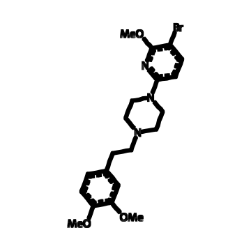 COc1ccc(CCN2CCN(c3ccc(Br)c(OC)n3)CC2)cc1OC